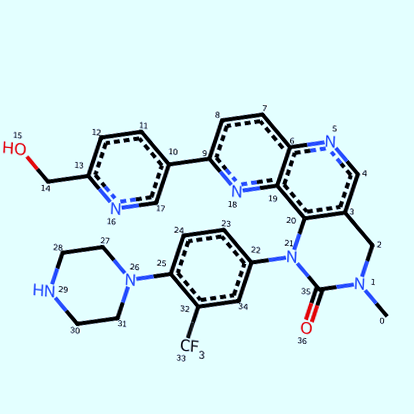 CN1Cc2cnc3ccc(-c4ccc(CO)nc4)nc3c2N(c2ccc(N3CCNCC3)c(C(F)(F)F)c2)C1=O